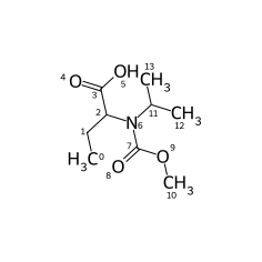 CCC(C(=O)O)N(C(=O)OC)C(C)C